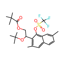 Cc1ccc2cc(C)c(C(COC(=O)C(C)(C)C)OC(C)(C)C)c(OS(=O)(=O)C(F)(F)F)c2c1